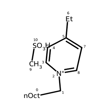 CCCCCCCCC[n+]1ccc(CC)cc1.CS(=O)(=O)O